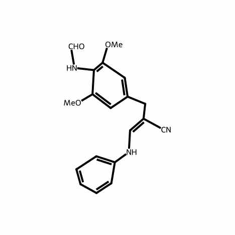 COc1cc(CC(C#N)=CNc2ccccc2)cc(OC)c1NC=O